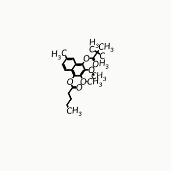 CCCCC(=O)Oc1c(OC)c(OC)c(OC(=O)C(C)(C)C)c2cc(C)ccc12